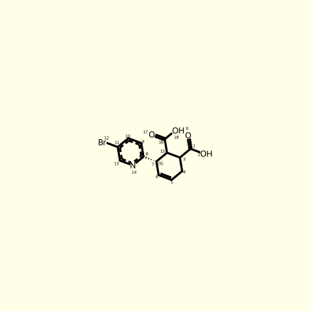 O=C(O)C1CC=C[C@H](c2ccc(Br)cn2)C1C(=O)O